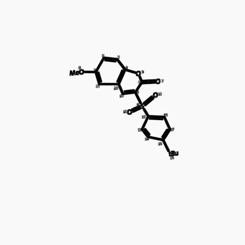 COc1ccc2oc(=O)c(S(=O)(=O)c3ccc(C(C)(C)C)cc3)cc2c1